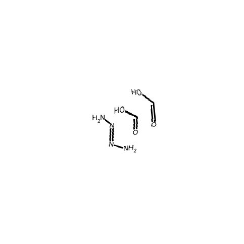 NN=NN.O=CO.O=CO